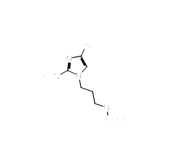 O=C(O)NCCCn1cc(Br)nc1[N+](=O)[O-]